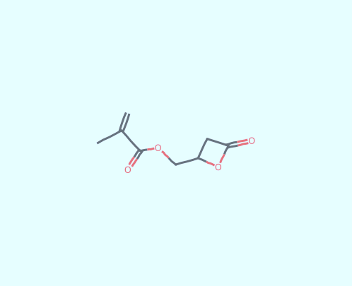 C=C(C)C(=O)OCC1CC(=O)O1